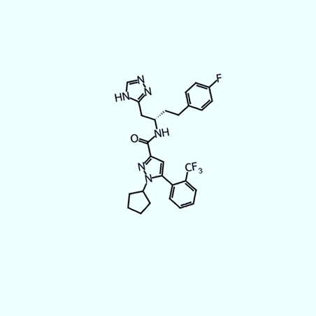 O=C(N[C@@H](CCc1ccc(F)cc1)Cc1nnc[nH]1)c1cc(-c2ccccc2C(F)(F)F)n(C2CCCC2)n1